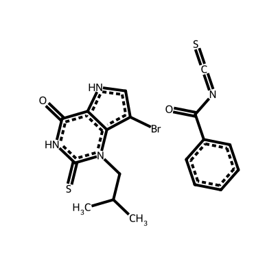 CC(C)Cn1c(=S)[nH]c(=O)c2[nH]cc(Br)c21.O=C(N=C=S)c1ccccc1